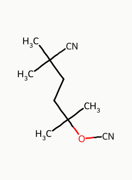 CC(C)(C#N)CCC(C)(C)OC#N